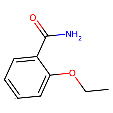 CCOc1c[c]ccc1C(N)=O